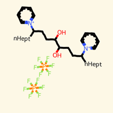 CCCCCCCC(CCC(O)C(O)CCC(CCCCCCC)[n+]1ccccc1)[n+]1ccccc1.F[P-](F)(F)(F)(F)F.F[P-](F)(F)(F)(F)F